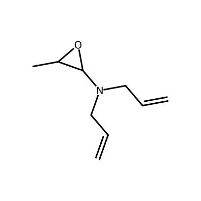 C=CCN(CC=C)C1OC1C